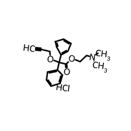 C#CCOC(C(=O)OCCN(C)C)(c1ccccc1)c1ccccc1.Cl